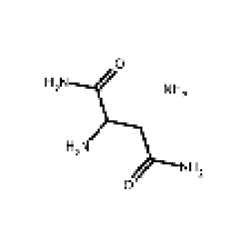 N.NC(=O)CC(N)C(N)=O